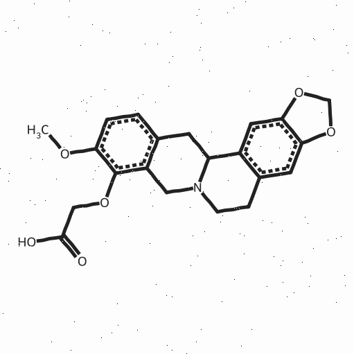 COc1ccc2c(c1OCC(=O)O)CN1CCc3cc4c(cc3C1C2)OCO4